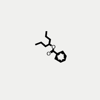 CCCC(CCC)OC(=O)c1ccccc1